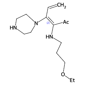 C=C/C(=C(/NCCCOCC)C(C)=O)N1CCNCC1